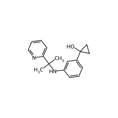 CC(C)(Nc1cccc(C2(O)CC2)c1)c1ccccn1